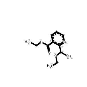 CCOC(=O)c1cccnc1C(C)OCC